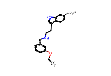 O=C(O)c1ccc2c(CCNCc3cccc(OCC(F)(F)F)c3)c[nH]c2c1